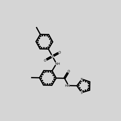 Cc1ccc(S(=O)(=O)Nc2cc(C)ccc2C(=O)Nc2nccs2)cc1